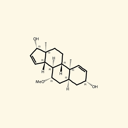 CO[C@H]1C[C@@H]2C[C@@H](O)C=C[C@]2(C)[C@H]2CC[C@]3(C)[C@@H](O)C=C[C@H]3[C@H]12